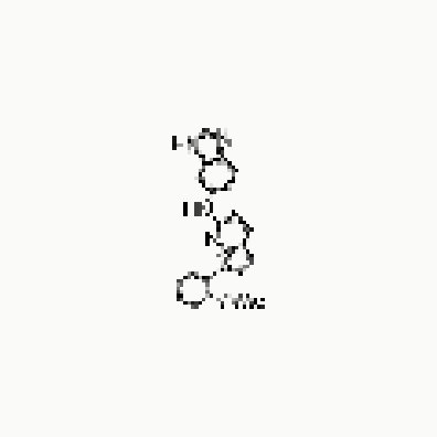 COc1ccccc1-c1ccc2cnc(Nc3ccc4nc[nH]c4c3)nn12